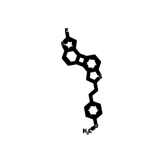 COc1ccc(CCC2Cc3c(ccc4c3C3C=Cc5sc(F)cc5C43)S2)cc1